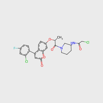 CC(Oc1ccc2c(-c3ccc(F)cc3Cl)cc(=O)oc2c1)C(=O)N1CCC[C@H](NC(=O)CCl)C1